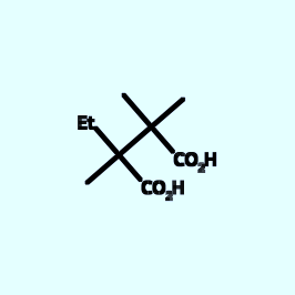 CCC(C)(C(=O)O)C(C)(C)C(=O)O